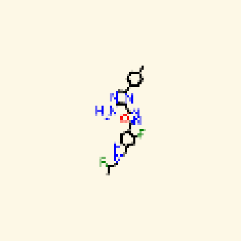 Cc1ccc(-c2cnc(N)c(-c3nnc(-c4ccc(CNCC(C)F)cc4F)o3)n2)cc1